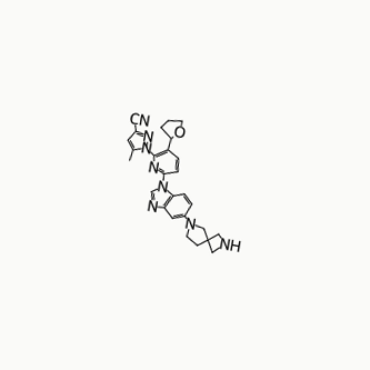 Cc1cc(C#N)nn1-c1nc(-n2cnc3cc(N4CCC5(CNC5)C4)ccc32)ccc1C1CCCO1